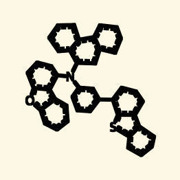 c1cc(-c2cccc3c2sc2ccccc23)cc(N(c2cc3ccccc3c3ccccc23)c2cccc3oc4ccccc4c23)c1